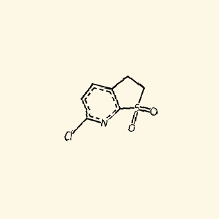 O=S1(=O)CCc2ccc(Cl)nc21